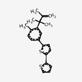 C=C(C)C(C)(C)c1cc(-c2ccc(-c3cccs3)s2)ccc1C